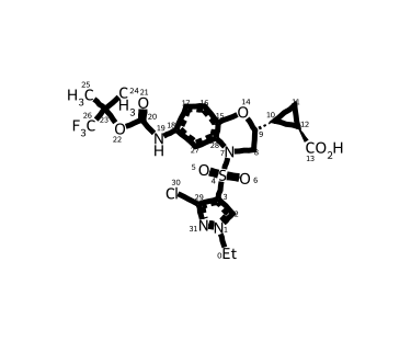 CCn1cc(S(=O)(=O)N2CC([C@@H]3C[C@H]3C(=O)O)Oc3ccc(NC(=O)OC(C)(C)C(F)(F)F)cc32)c(Cl)n1